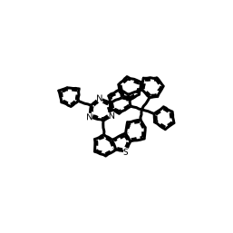 c1ccc(-c2nc(-c3ccccc3)nc(-c3cccc4sc5ccc(C6(c7ccccc7)c7ccccc7-c7ccccc76)cc5c34)n2)cc1